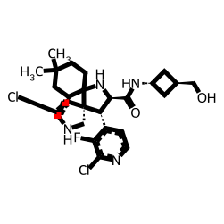 CC1(C)CCC2(CC1)N[C@@H](C(=O)N[C@H]1C[C@H](CO)C1)[C@H](c1ccnc(Cl)c1F)[C@]21CNc2cc(Cl)ccc21